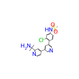 CC(C)(N)c1cc(-c2cncc(-c3ccc(NS(C)(=O)=O)cc3Cl)c2)ccn1